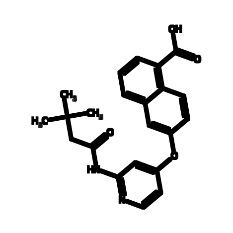 CC(C)(C)CC(=O)Nc1cc(Oc2ccc3c(C(=O)O)cccc3c2)ccn1